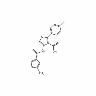 Cc1cc(C(=O)Nc2csc(-c3ccc(Cl)cc3)c2C(=O)O)co1